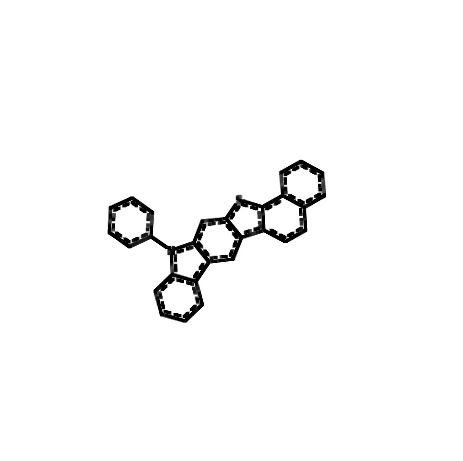 c1ccc(-n2c3ccccc3c3cc4c(cc32)sc2c3ccccc3ccc42)cc1